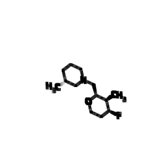 C[C@@H]1CCCN(C[C@@H]2OCC[C@H](F)[C@@H]2C)C1